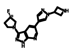 F[C@H]1CCN(c2n[nH]c3ncc(-c4cnn(C5CNC5)c4)cc23)C1